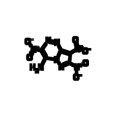 Nc1c([N+](=O)[O-])nnc2c([N+](=O)[O-])c([N+](=O)[O-])nn12